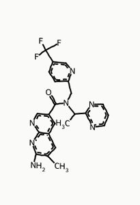 Cc1cc2cc(C(=O)N(Cc3ccc(C(F)(F)F)cn3)C(C)c3ncccn3)cnc2nc1N